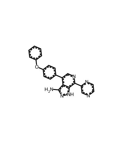 Nc1n[nH]c2c(-c3cnccn3)ncc(-c3ccc(Oc4ccccc4)cc3)c12